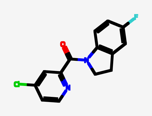 O=C(c1cc(Cl)ccn1)N1CCc2cc(F)ccc21